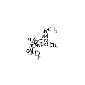 C=CC(=O)Nc1cc(Nc2cc(N3OCC[C@@H]3c3cccc(F)c3)ncn2)c(OC)cc1N1CCN(CC)CC1